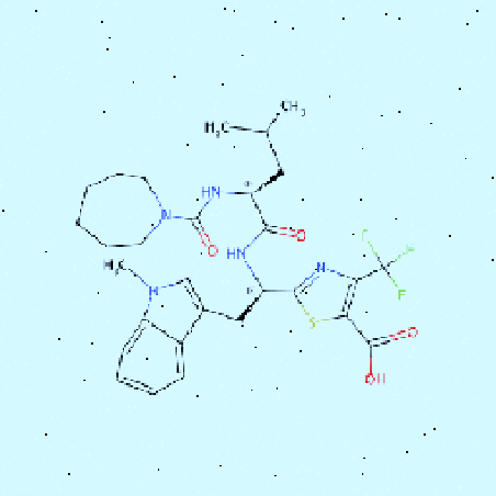 CC(C)C[C@H](NC(=O)N1CCCCCC1)C(=O)N[C@H](Cc1cn(C)c2ccccc12)c1nc(C(F)(F)F)c(C(=O)O)s1